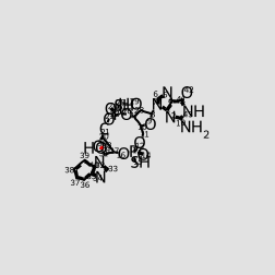 Nc1nc2c(ncn2C2OC3COP(=O)(S)OC4C(O)C(COP(=O)(S)OC3C2O)OC4n2cnc3ccccc32)c(=O)[nH]1